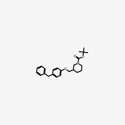 CC(C)(C)OC(=O)N1CCCC(COc2ccc(Cc3ccccc3)cc2)C1